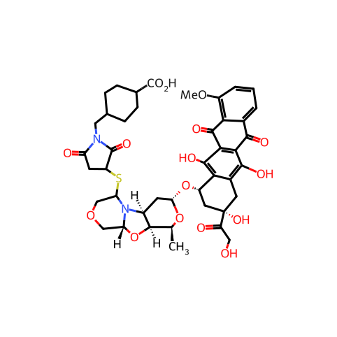 COc1cccc2c1C(=O)c1c(O)c3c(c(O)c1C2=O)C[C@@](O)(C(=O)CO)C[C@@H]3O[C@H]1C[C@H]2[C@H](O[C@@H]3COCC(SC4CC(=O)N(CC5CCC(C(=O)O)CC5)C4=O)N32)[C@H](C)O1